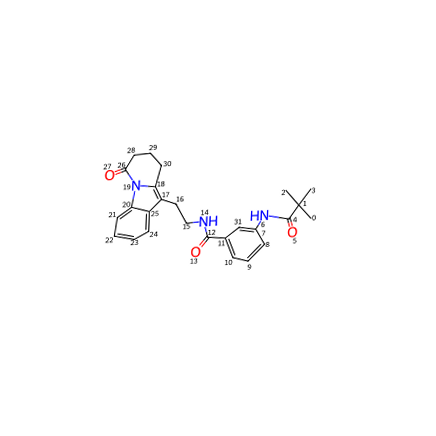 CC(C)(C)C(=O)Nc1cccc(C(=O)NCCc2c3n(c4ccccc24)C(=O)CCC3)c1